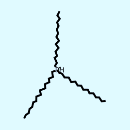 CCCCCCCCCCCCCCCC[PH](C)(CCCCCCCCCCCCCCCC)CCCCCCCCCCCCCCCC